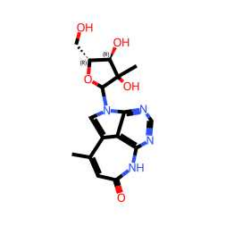 CC1=CC(=O)Nc2ncnc3c2c1cn3C1O[C@H](CO)[C@@H](O)C1(C)O